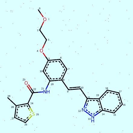 COCCOc1ccc(C=Cc2n[nH]c3ccccc23)c(NC(=O)c2sccc2C)c1